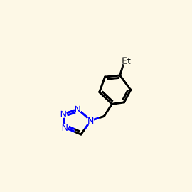 CCc1ccc(Cn2cnnn2)cc1